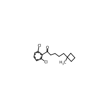 CC1(CCCCC(=O)c2c(Cl)cccc2Cl)CCC1